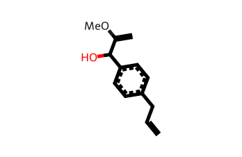 C=CCc1ccc(C(O)C(=C)OC)cc1